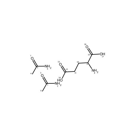 CC(N)=O.CC(N)=O.NC(CCC(=O)O)C(=O)O